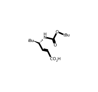 CC[C@H](C)[C@@H](C=CC(=O)O)NC(=O)OC(C)(C)C